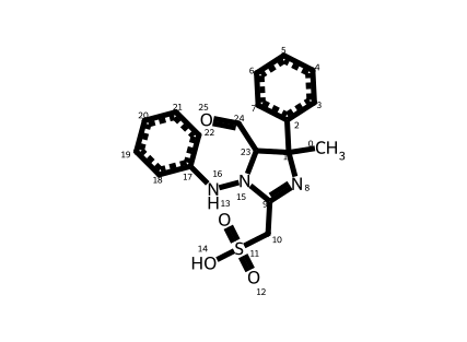 CC1(c2ccccc2)N=C(CS(=O)(=O)O)N(Nc2ccccc2)C1C=O